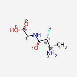 C[C@H](N)[C@@H](F)C(=O)NCC(=O)O